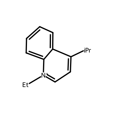 CC[n+]1ccc(C(C)C)c2ccccc21